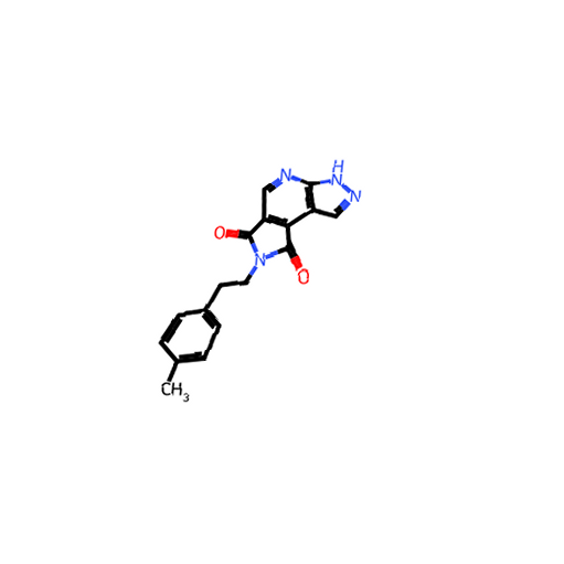 Cc1ccc(CCN2C(=O)c3cnc4[nH]ncc4c3C2=O)cc1